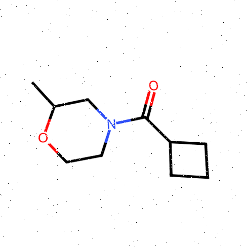 CC1CN(C(=O)C2CCC2)CCO1